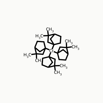 CC1(C)C[C]2([Cr]([C]34CCC(C3)C(C)(C)C4)([C]34CCC(C3)C(C)(C)C4)[C]34CCC(C3)C(C)(C)C4)CCC1C2